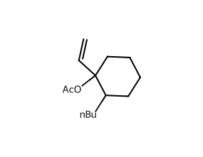 C=CC1(OC(C)=O)CCCCC1CCCC